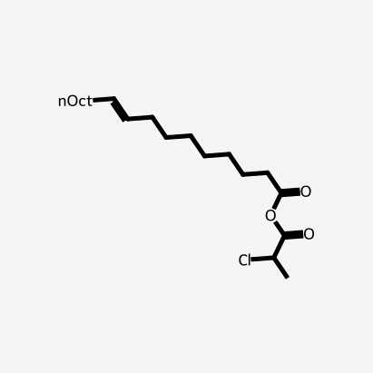 CCCCCCCCC=CCCCCCCCC(=O)OC(=O)C(C)Cl